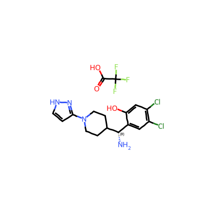 N[C@@H](c1cc(Cl)c(Cl)cc1O)C1CCN(c2cc[nH]n2)CC1.O=C(O)C(F)(F)F